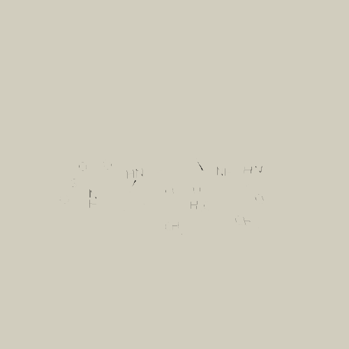 C=CC1C[C@]1(NC(=O)[C@@H]1CCC[C@H]1C(=O)NC(C(=O)NCC1CCCCC1)C(C)C)C(=O)NS(=O)(=O)Cc1ccccc1